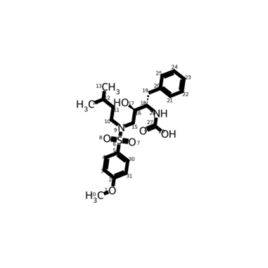 COc1ccc(S(=O)(=O)N(CCC(C)C)C[C@@H](O)[C@H](Cc2ccccc2)NC(=O)O)cc1